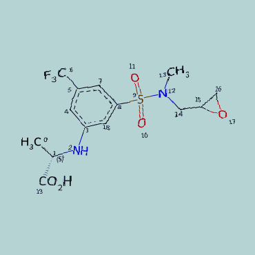 C[C@H](Nc1cc(C(F)(F)F)cc(S(=O)(=O)N(C)CC2CO2)c1)C(=O)O